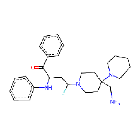 NCC1(N2CCCCC2)CCN(C(F)CC(Nc2ccccc2)C(=O)c2ccccc2)CC1